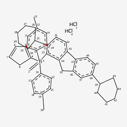 Cl.Cl.[CH2]=[Ti]([C]1=CC=CC1)([c]1ccc(C)cc1)([c]1ccc(C)cc1)[c]1c(C2CCCCC2)ccc2c1Cc1cc(C3CCCCC3)ccc1-2